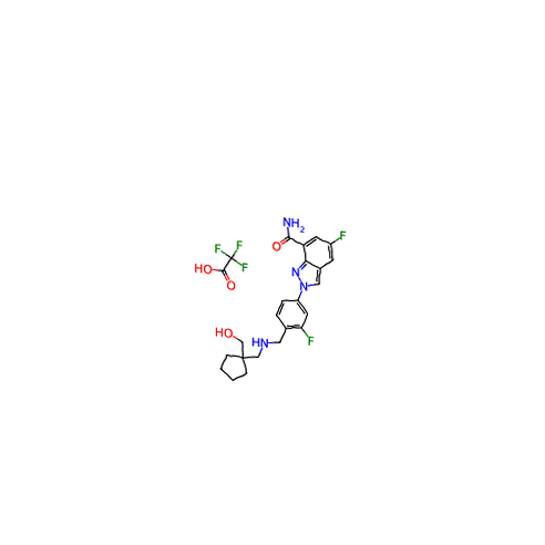 NC(=O)c1cc(F)cc2cn(-c3ccc(CNCC4(CO)CCCC4)c(F)c3)nc12.O=C(O)C(F)(F)F